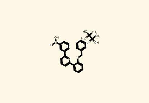 CC(C)(O)C(C)(C)O.OB(O)c1cccc(-c2cccc(-c3ccccc3OCc3ccccc3)n2)c1